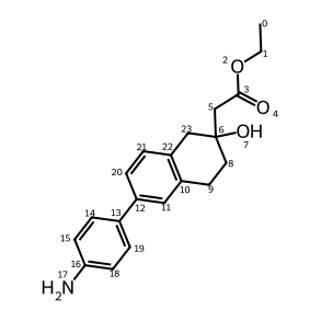 CCOC(=O)CC1(O)CCc2cc(-c3ccc(N)cc3)ccc2C1